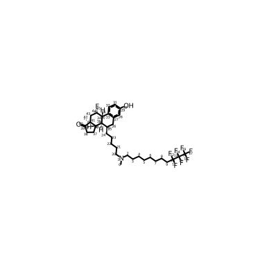 CN(CCCCCCCCC(F)(F)C(F)(F)C(F)(F)F)CCCCC[C@@H]1Cc2cc(O)ccc2[C@@H]2[C@@H]1[C@@H]1CCC(=O)[C@@]1(C)C[C@@H]2F